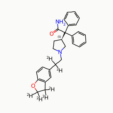 [2H]C([2H])(CN1CC[C@@H](C(C(N)=O)(c2ccccc2)c2ccccc2)C1)c1ccc2c(c1)C([2H])([2H])C([2H])([2H])O2